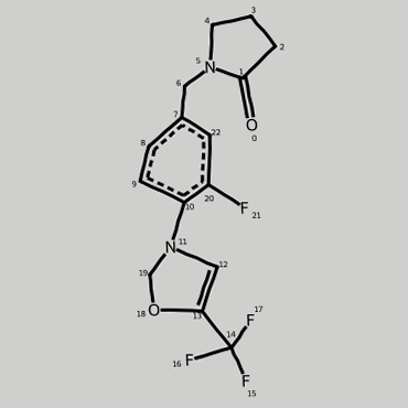 O=C1CCCN1Cc1ccc(N2C=C(C(F)(F)F)OC2)c(F)c1